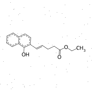 CCOC(=O)CC/C=C/c1ccc2ccccc2c1O